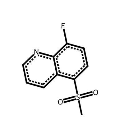 CS(=O)(=O)c1ccc(F)c2ncccc12